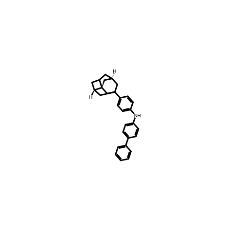 c1ccc(-c2ccc(Nc3ccc(C45C[C@@H]6CC7C[C@@H](C4)[C@@]7(C6)C5)cc3)cc2)cc1